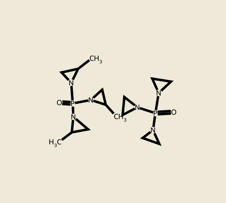 CC1CN1P(=O)(N1CC1C)N1CC1C.O=P(N1CC1)(N1CC1)N1CC1